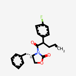 C=CCC(C(=O)N1C(=O)OC[C@@H]1Cc1ccccc1)c1ccc(F)cc1